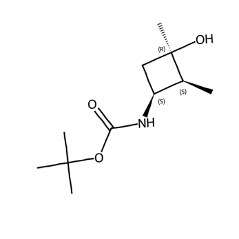 C[C@H]1[C@@H](NC(=O)OC(C)(C)C)C[C@@]1(C)O